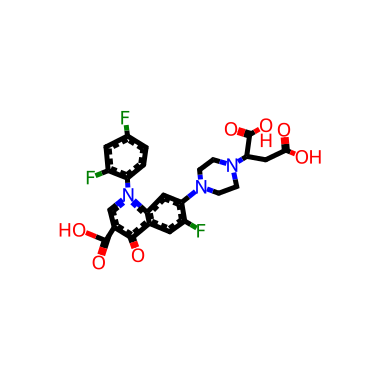 O=C(O)CC(C(=O)O)N1CCN(c2cc3c(cc2F)c(=O)c(C(=O)O)cn3-c2ccc(F)cc2F)CC1